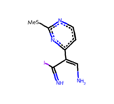 CSc1nccc(/C(=C/N)C(=N)I)n1